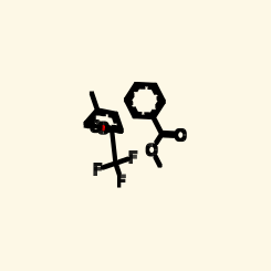 COC(=O)c1ccccc1.Cc1cc2c(C(F)(F)F)cc1CO2